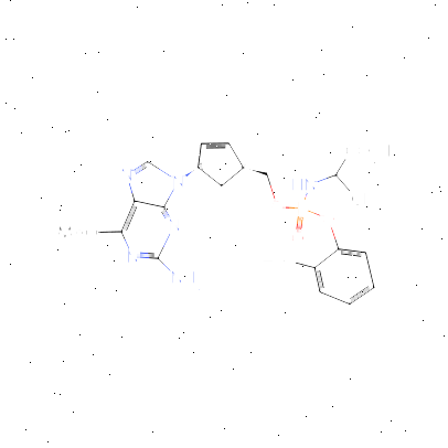 COc1nc(N)nc2c1ncn2[C@H]1C=C[C@@H](COP(=O)(NC(C)C(=O)O)Oc2ccccc2C)C1